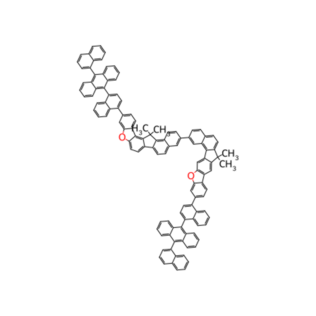 CC1(C)c2cc3c(cc2-c2c1ccc1ccc(-c4ccc5c6c(ccc5c4)-c4ccc5oc7cc(-c8ccc(-c9c%10ccccc%10c(-c%10cccc%11ccccc%10%11)c%10ccccc9%10)c9ccccc89)ccc7c5c4C6(C)C)cc21)oc1cc(-c2ccc(-c4c5ccccc5c(-c5cccc6ccccc56)c5ccccc45)c4ccccc24)ccc13